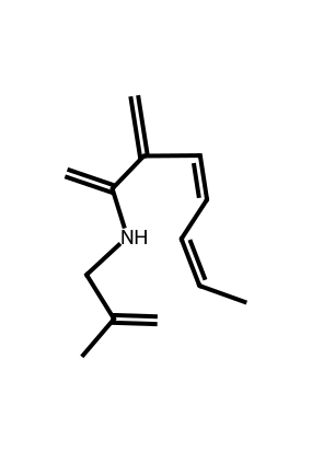 C=C(C)CNC(=C)C(=C)/C=C\C=C/C